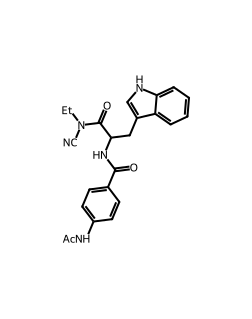 CCN(C#N)C(=O)C(Cc1c[nH]c2ccccc12)NC(=O)c1ccc(NC(C)=O)cc1